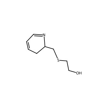 OCCSCC1CC=CC=N1